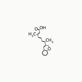 CC(C=CC=C(C)C1=Cc2ccccc2OC1)=CC(=O)O